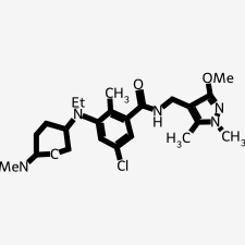 CCN(c1cc(Cl)cc(C(=O)NCc2c(OC)nn(C)c2C)c1C)C1CCC(NC)CC1